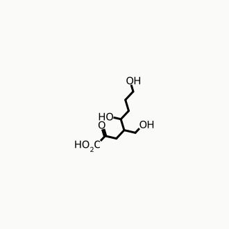 O=C(O)C(=O)CC(CO)C(O)CCCO